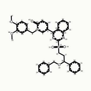 COc1ccc(Cn2cc(-c3nc(S(=O)(=O)CCC(OCc4ccccc4)c4ccccc4)nc4ccccc34)ccc2=O)cc1OC